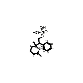 CC1CCCC(C)(C(COP(=O)(O)O)c2ccccc2)N1